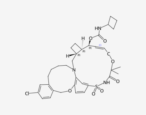 CC1(C)OC/C=C/[C@H](OC(=O)NC2CCC2)[C@@H]2CC[C@H]2CN2CCCCc3cc(Cl)ccc3COc3ccc(cc32)S(=O)(=O)NC1=O